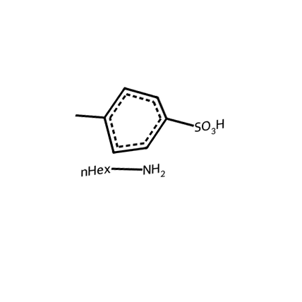 CCCCCCN.Cc1ccc(S(=O)(=O)O)cc1